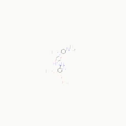 COCCOc1cc2ncnc(NC3=CC(=O)C(N(C)c4ccc(N(C)C)cc4)=CC3=O)c2cc1OC